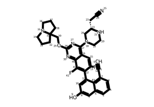 C#Cc1cccc2cc(O)cc(-c3c(F)cc4c(N5CCN[C@@H](CC#N)C5)nc(OCC56CCCN5CCC6)nc4c3F)c12